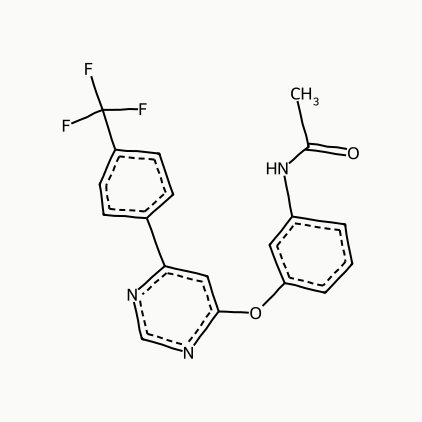 CC(=O)Nc1cccc(Oc2cc(-c3ccc(C(F)(F)F)cc3)ncn2)c1